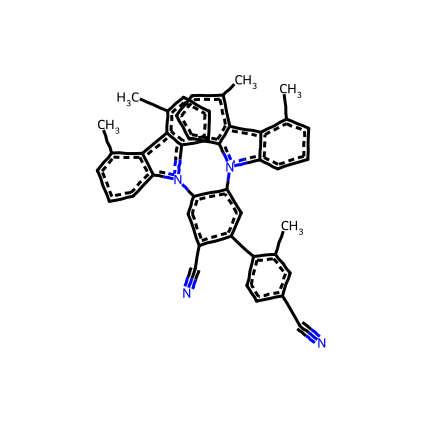 Cc1cc(C#N)ccc1-c1cc(-n2c3cccc(C)c3c3c(C)cccc32)c(-n2c3cccc(C)c3c3c(C)cccc32)cc1C#N